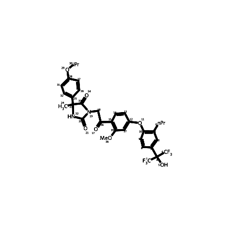 CCCc1cc(C(O)(C(F)(F)F)C(F)(F)F)ccc1Oc1ccc(C(=O)CN2C(=O)NC(C)(c3ccc(OC(C)C)cc3)C2=O)c(OC)c1